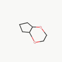 [CH]1COC2CCCC2O1